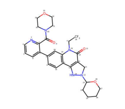 O=C(c1ncccc1-c1ccc2c3c(c(=O)n(CC(F)(F)F)c2c1)CN(C1CCCCO1)N3)N1CCOCC1